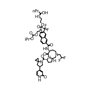 CCCC(O)=[SH]CCOP(=O)(OCOC(=O)OC(C)C)C(F)(F)c1ccc2ccc(C(=O)N[C@H]3CCN(CC(F)F)C[C@H]4CC[C@@H](C(=O)N5CC(c6cc[nH]c(=O)c6)CC56CC6)N4C3=O)cc2c1